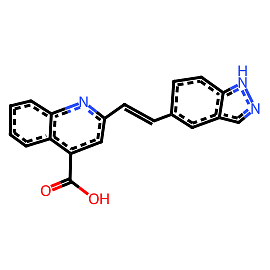 O=C(O)c1cc(C=Cc2ccc3[nH]ncc3c2)nc2ccccc12